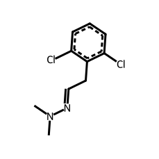 CN(C)N=CCc1c(Cl)cccc1Cl